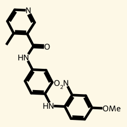 COc1ccc(Nc2ccc(NC(=O)c3cnccc3C)cc2)c([N+](=O)[O-])c1